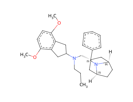 CCCN(C[C@@H]1C[C@H]2CC[C@@H](C1)N2Cc1ccccc1)C1Cc2c(OC)ccc(OC)c2C1